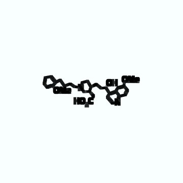 COc1ccc2nccc([C@@H](O)CC[C@@H]3CCN(CCCCc4ccccc4OC)C[C@@H]3CC(=O)O)c2c1